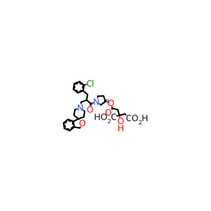 O=C(O)CC(O)(CC(=O)O[C@@H]1CCN(C(=O)C(Cc2ccccc2Cl)CN2CCC3(CC2)OCc2ccccc23)C1)C(=O)O